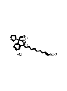 C=CC(c1ccccc1C(=O)CCCCCCCC=CCCCCCCCC)(C(C)O)N1C=NCC1.Cl